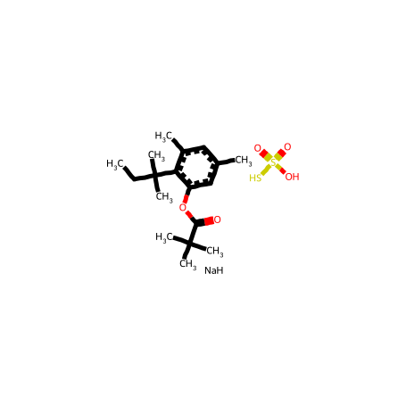 CCC(C)(C)c1c(C)cc(C)cc1OC(=O)C(C)(C)C.O=S(=O)(O)S.[NaH]